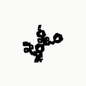 CCCc1nc2cc(N(CCCc3ccccc3)S(=O)(=O)c3ccc(F)cc3)ccc2n1CC(=O)OC(C)(C)C